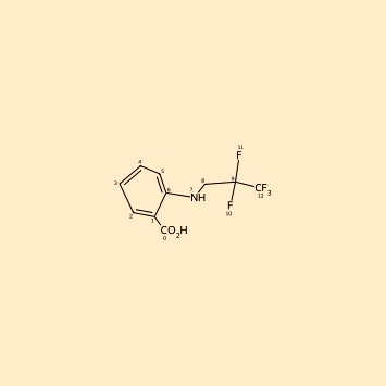 O=C(O)c1ccccc1NCC(F)(F)C(F)(F)F